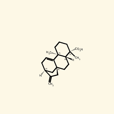 C=C1C[C@]23CC[C@H]4[C@@](C)(C(=O)O)CCC[C@]4(C)C2=CC[C@H]1C3